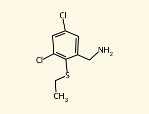 CCSc1c(Cl)cc(Cl)cc1CN